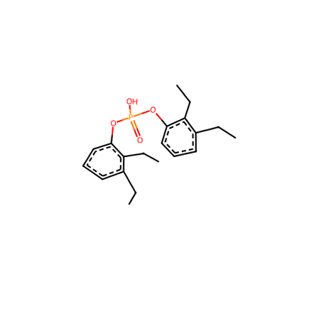 CCc1cccc(OP(=O)(O)Oc2cccc(CC)c2CC)c1CC